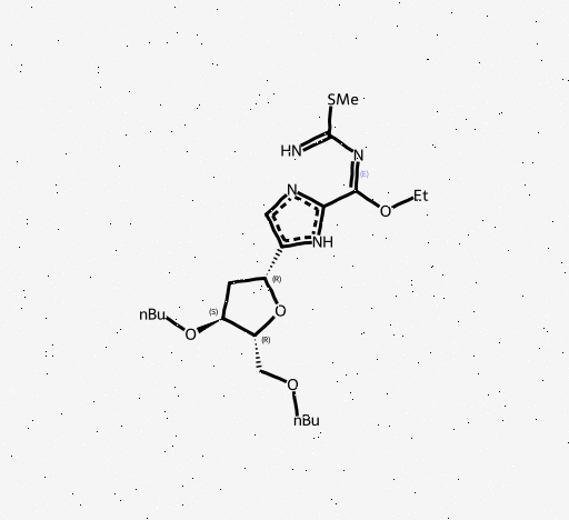 CCCCOC[C@H]1O[C@@H](c2cnc(/C(=N\C(=N)SC)OCC)[nH]2)C[C@@H]1OCCCC